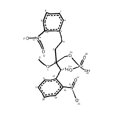 COC(CCc1ccccc1[N+](=O)[O-])(Cc1ccccc1[N+](=O)[O-])OP(=O)(O)O